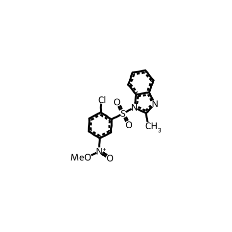 CO[N+](=O)c1ccc(Cl)c(S(=O)(=O)n2c(C)nc3ccccc32)c1